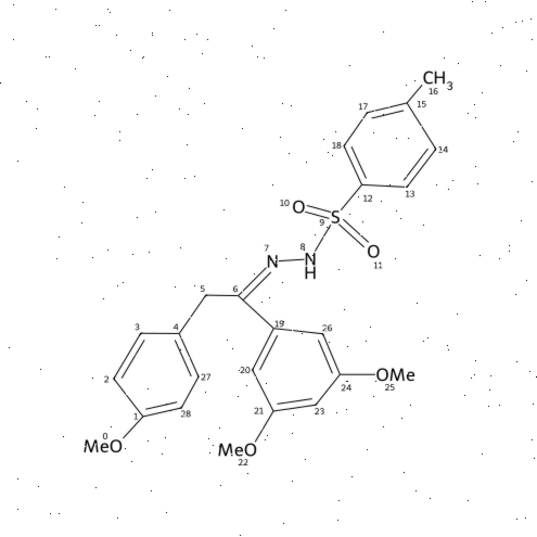 COc1ccc(C/C(=N/NS(=O)(=O)c2ccc(C)cc2)c2cc(OC)cc(OC)c2)cc1